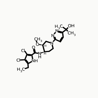 CCc1[nH]c(C(=O)N[C@@H]2CCN(c3ccc(C(C)(C)O)nn3)C[C@@H]2OC)c(Cl)c1Cl